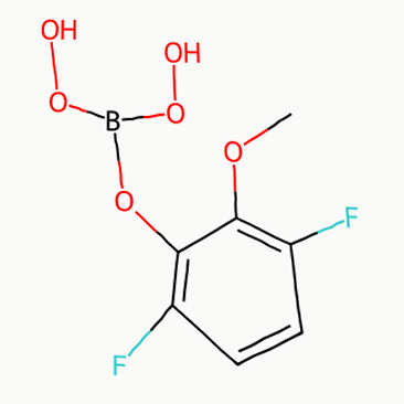 COc1c(F)ccc(F)c1OB(OO)OO